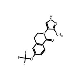 Cc1n[nH]cc1N1CCc2cc(OC(F)(F)F)ccc2C1=O